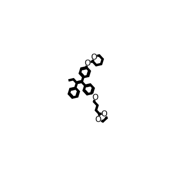 CC/C(=C(/c1ccc(OCCCC2OCCO2)cc1)c1ccc(OC2CCCCO2)cc1)c1ccccc1